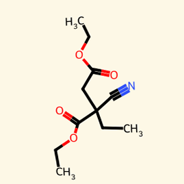 CCOC(=O)CC(C#N)(CC)C(=O)OCC